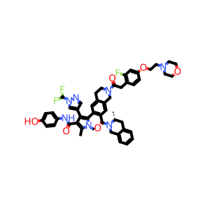 Cc1c(C(=O)Nc2ccc(O)cc2)c(-c2cnn(C(F)F)c2)c(-c2cc3c(cc2C(=O)N2Cc4ccccc4C[C@H]2C)CN(C(=O)Cc2ccc(OCCN4CCOCC4)cc2F)CC3)n1C